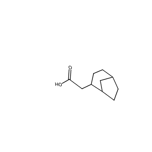 O=C(O)CC1CCC2CCC1C2